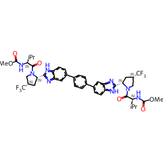 COC(=O)N[C@H](C(=O)N1C[C@@H](C(F)(F)F)C[C@H]1c1nc2cc(-c3ccc(-c4ccc5[nH]c([C@@H]6C[C@H](C(F)(F)F)CN6C(=O)[C@@H](NC(=O)OC)C(C)C)nc5c4)cc3)ccc2[nH]1)C(C)C